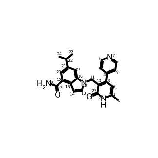 Cc1cc(-c2ccncc2)c(Cn2ccc3c(C(N)=O)cc(C(C)C)cc32)c(=O)[nH]1